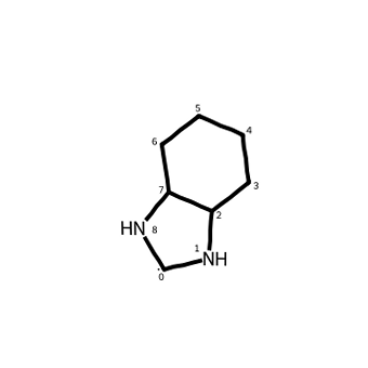 [CH]1NC2CCCCC2N1